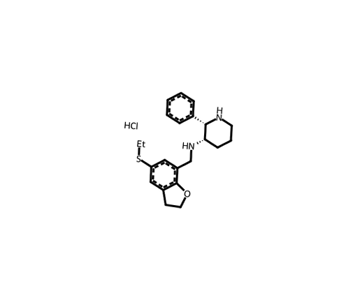 CCSc1cc2c(c(CN[C@H]3CCCN[C@H]3c3ccccc3)c1)OCC2.Cl